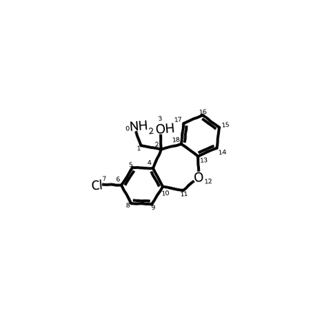 NCC1(O)c2cc(Cl)ccc2COc2ccccc21